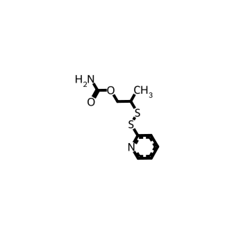 CC(COC(N)=O)SSc1ccccn1